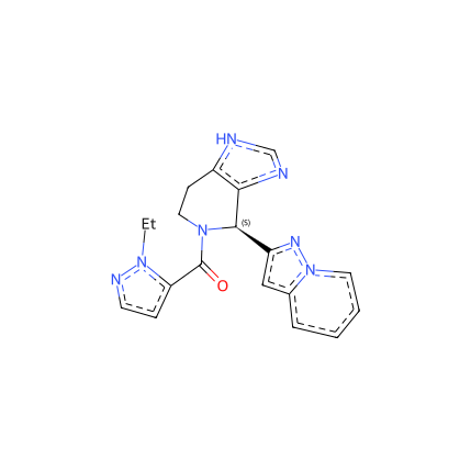 CCn1nccc1C(=O)N1CCc2[nH]cnc2[C@H]1c1cc2ccccn2n1